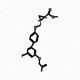 C=C(C)COc1cc(F)cc(-c2ccc(OC[C@@H]3C[C@H]3C(=O)OC)cc2)c1